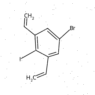 C=Cc1cc(Br)cc(C=C)c1I